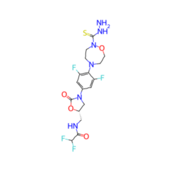 NNC(=S)N1CCN(c2c(F)cc(N3C[C@H](CNC(=O)C(F)F)OC3=O)cc2F)CCO1